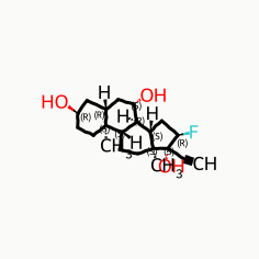 C#C[C@]1(O)[C@H](F)C[C@H]2[C@@H]3[C@@H](O)C[C@H]4C[C@H](O)CC[C@]4(C)[C@H]3CC[C@@]21C